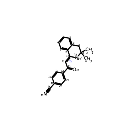 CC1(C)Cc2ccccc2/C(=C/C(=O)c2ccc(C#N)cc2)N1